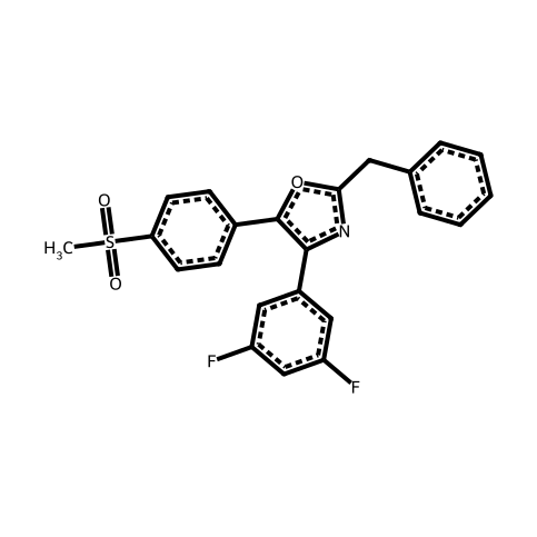 CS(=O)(=O)c1ccc(-c2oc(Cc3ccccc3)nc2-c2cc(F)cc(F)c2)cc1